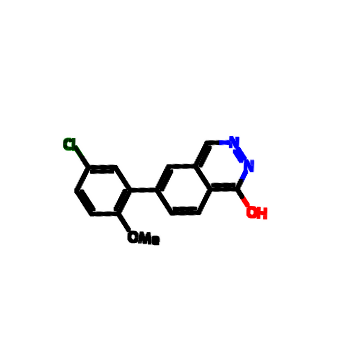 COc1ccc(Cl)cc1-c1ccc2c(O)nncc2c1